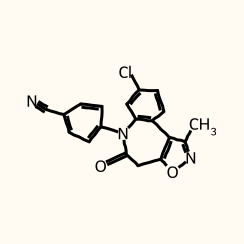 Cc1noc2c1-c1ccc(Cl)cc1N(c1ccc(C#N)cc1)C(=O)C2